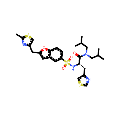 Cc1nc(Cc2cc3cc(S(=O)(=O)N[C@@H](Cc4cscn4)C(=O)N(CC(C)C)CC(C)C)ccc3o2)cs1